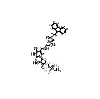 C=P(C)(C)CC[C@H]1OC(n2cc(CNCCS(=O)(=O)OC(=O)OCC3c4ccccc4-c4ccccc43)c(=O)[nH]c2=S)[C@H](O)[C@@H]1O